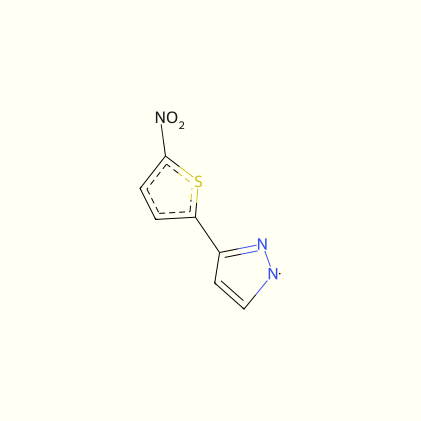 O=[N+]([O-])c1ccc(C2=N[N]C=C2)s1